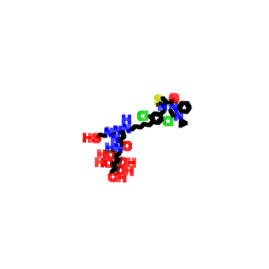 CN(CCO)c1nc(NCCCCCc2cc(Cl)c(CN3CSC[C@H]3C(=O)N3CCN(C4CC4)c4ccccc43)cc2Cl)cc(C(=O)NC[C@H](O)[C@@H](O)[C@H](O)[C@H](O)CO)n1